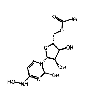 CC(C)C(=O)OC[C@H]1O[C@@H](N2C=CC(NO)=NC2O)[C@H](O)[C@@H]1O